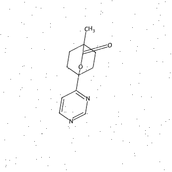 CC12CCC(c3ccn[c]n3)(CC1)OC2=O